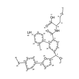 COC(c1ccc(C(=O)NC(CCSC)C(=O)O)c(-c2ccccc2C)c1)c1ccc(-c2ccc(SC)cc2)o1.[LiH]